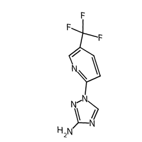 Nc1ncn(-c2ccc(C(F)(F)F)cn2)n1